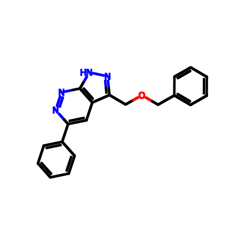 c1ccc(COCc2n[nH]c3nnc(-c4ccccc4)cc23)cc1